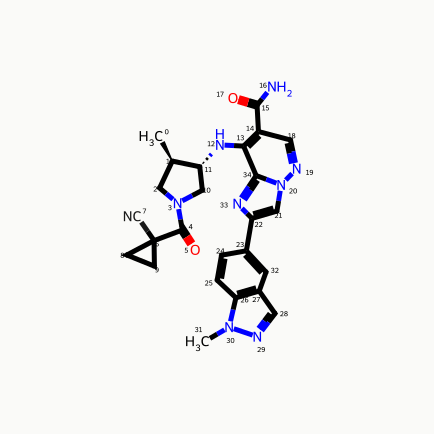 C[C@@H]1CN(C(=O)C2(C#N)CC2)C[C@H]1Nc1c(C(N)=O)cnn2cc(-c3ccc4c(cnn4C)c3)nc12